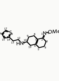 CON=C1CCCC2=C1CCC(NCCc1cccs1)C2